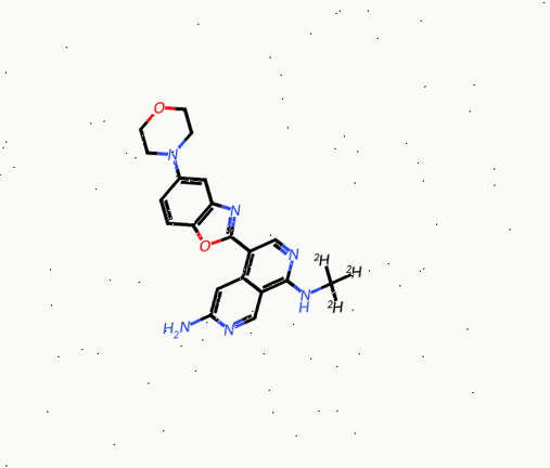 [2H]C([2H])([2H])Nc1ncc(-c2nc3cc(N4CCOCC4)ccc3o2)c2cc(N)ncc12